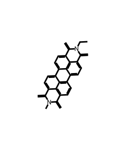 C=C1c2ccc3c4ccc5c6c(ccc(c7ccc(c2c37)C(=C)N1C)c64)C(=C)N(CC)C5=C